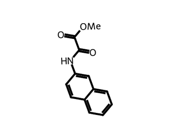 COC(=O)C(=O)Nc1ccc2ccccc2c1